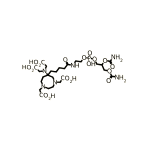 NC(=O)OCC(COP(=O)(O)OCCNC(=O)CCCCC1(N(CC(=O)O)CC(=O)O)CCN(CC(=O)O)CCN(CC(=O)O)C1)OC(N)=O